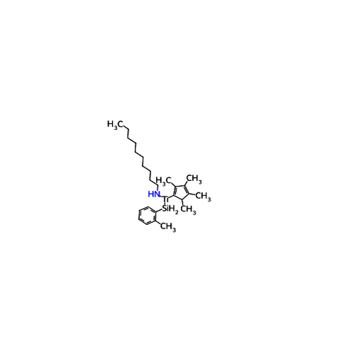 CCCCCCCCCC[NH][Ti]([SiH2]c1ccccc1C)[C]1=C(C)C(C)=C(C)C1C